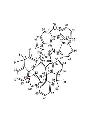 C=C/C=C\C1=C(C)C(C)(C)c2ccccc2C12c1cc(N(c3ccccc3)c3cccc4oc5ccccc5c34)sc1C1(c3ccccc3C(C)(C)c3ccccc31)c1ccsc12